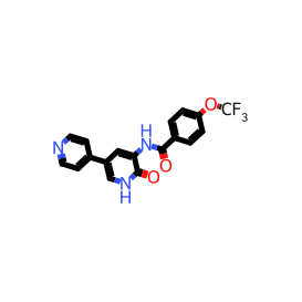 O=C(Nc1cc(-c2ccncc2)c[nH]c1=O)c1ccc(OC(F)(F)F)cc1